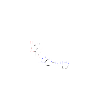 O[C@@H]1CO[C@H]2[C@@H]1OC[C@H]2Oc1nc2nc(NCc3cccnn3)c(Cl)cc2[nH]1